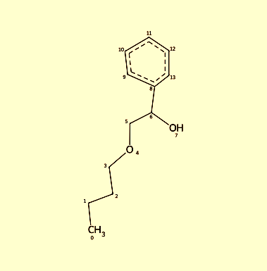 CCCCOCC(O)c1ccccc1